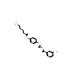 COc1cccc(C(=O)NC(=S)Nc2ccc(NC(=O)CCCCN(C)C)cc2)c1.Cl